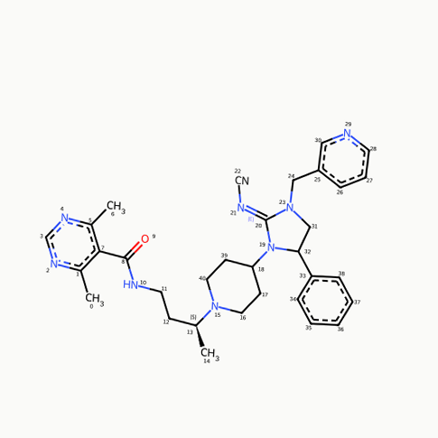 Cc1ncnc(C)c1C(=O)NCC[C@H](C)N1CCC(N2/C(=N/C#N)N(Cc3cccnc3)CC2c2ccccc2)CC1